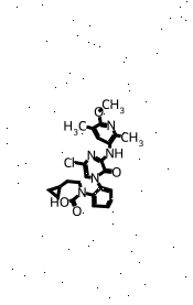 COc1nc(C)c(Nc2nc(Cl)cn(-c3ccccc3N(CCC3CC3)C(=O)O)c2=O)cc1C